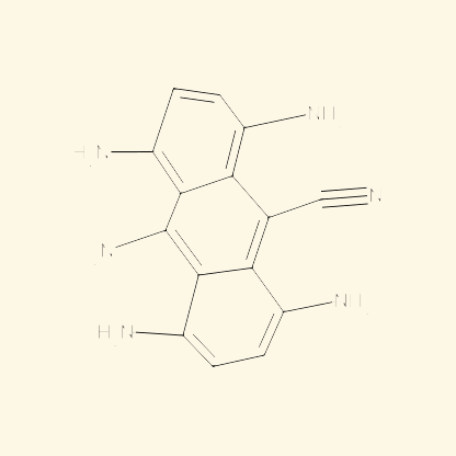 N#Cc1c2c(N)ccc(N)c2c(N)c2c(N)ccc(N)c12